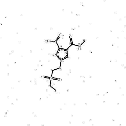 CCS(=O)(=O)CCn1cc(C(=O)NC)c([N+](=O)[O-])n1